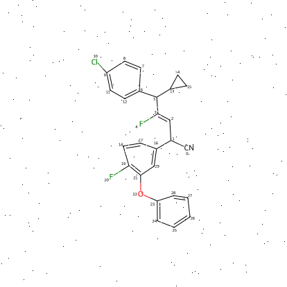 N#CC(C=C(F)C(c1ccc(Cl)cc1)C1CC1)c1ccc(F)c(Oc2ccccc2)c1